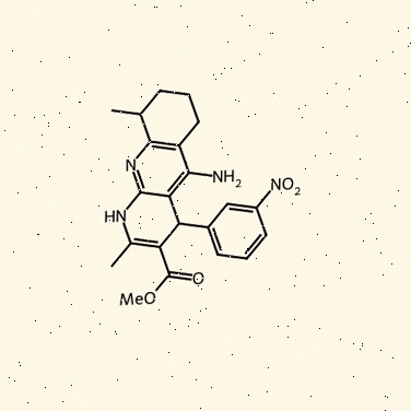 COC(=O)C1=C(C)Nc2nc3c(c(N)c2C1c1cccc([N+](=O)[O-])c1)CCCC3C